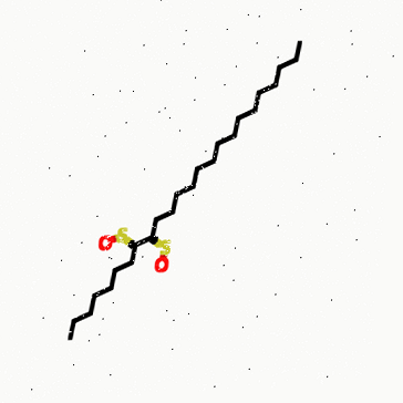 CCCCCCCCCCCCCCCC(=S=O)C(CCCCCCC)=S=O